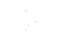 O=C1OCC/C=C/CC/C=C/C(=N/OCC(=O)N2CCCCC2)Cc2c(Cl)c(O)cc(O)c21